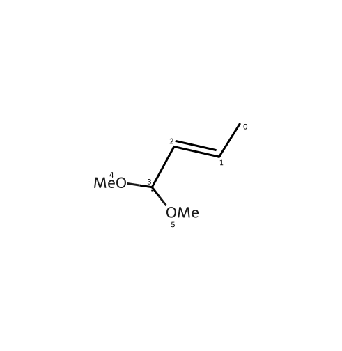 CC=C[C](OC)OC